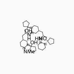 CN[C@H]1CCC(CC(C)N[C@@H]2CC(CC(C)N[C@H]3CCCC[C@H]3C3(O)CCCC3)CC[C@@H]2C2(O)CCCC2)C[C@H]1C1(O)CCCC1